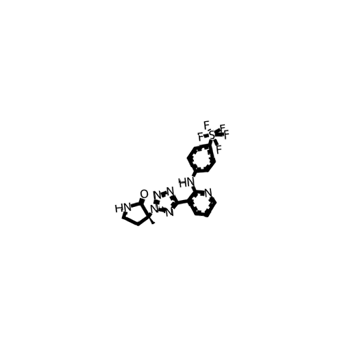 C[C@@]1(n2nnc(-c3cccnc3Nc3ccc(S(F)(F)(F)(F)F)cc3)n2)CCNC1=O